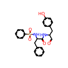 O=CC(Cc1ccc(O)cc1)NC(=O)C(Cc1ccccc1)NS(=O)(=O)c1ccccc1